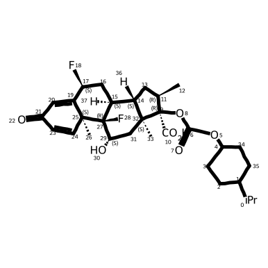 CC(C)C1CCC(OC(=O)O[C@]2(C(=O)O)[C@H](C)C[C@H]3[C@@H]4C[C@H](F)C5=CC(=O)C=C[C@]5(C)[C@@]4(F)[C@@H](O)C[C@@]32C)CC1